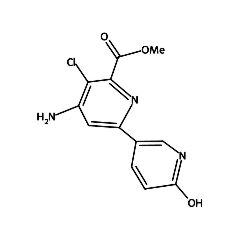 COC(=O)c1nc(-c2ccc(O)nc2)cc(N)c1Cl